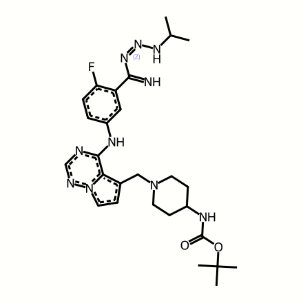 CC(C)N/N=N\C(=N)c1cc(Nc2ncnn3ccc(CN4CCC(NC(=O)OC(C)(C)C)CC4)c23)ccc1F